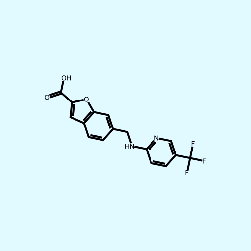 O=C(O)c1cc2ccc(CNc3ccc(C(F)(F)F)cn3)cc2o1